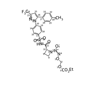 CCOC(=O)OCO/N=[N+](/[O-])N1CC[C@H]1C(=O)NS(=O)(=O)c1ccc(-n2nc(C(F)(F)F)cc2-c2ccc(C)cc2)cc1